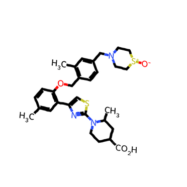 Cc1ccc(OCc2ccc(CN3CC[S+]([O-])CC3)cc2C)c(-c2csc(N3CCC(C(=O)O)CC3C)n2)c1